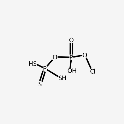 O=P(O)(OCl)OP(=S)(S)S